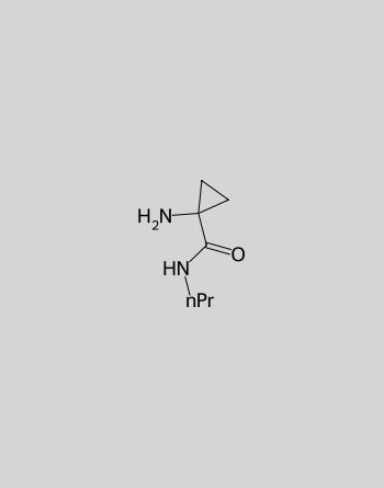 CCCNC(=O)C1(N)CC1